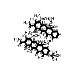 CN(C)[C@@H]1C(O)=C(C(N)=O)C(=O)[C@@]2(O)C(O)=C3C(=O)c4c(O)cccc4[C@@](C)(O)[C@H]3C[C@@H]12.CN(C)[C@@H]1C(O)=C(C(N)=O)C(=O)[C@@]2(O)C(O)=C3C(=O)c4c(O)cccc4[C@@](C)(O)[C@H]3C[C@@H]12.Cl.O=P(O)(O)O